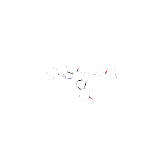 Cc1c2c(=O)n(CCCNC(=O)OC(C)(C)C)c3cc4c(cc3c2nn1C1CCCCO1)CCC(=O)C4